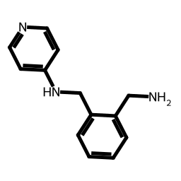 NCc1ccccc1CNc1ccncc1